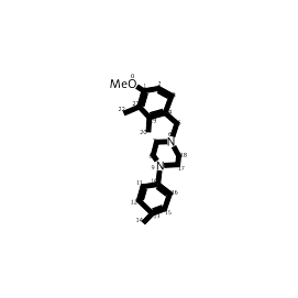 COc1ccc(CN2CCN(c3ccc(C)cc3)CC2)c(C)c1C